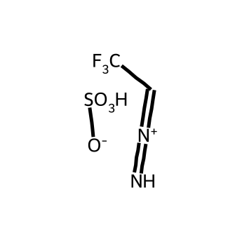 N=[N+]=CC(F)(F)F.O=S(=O)([O-])O